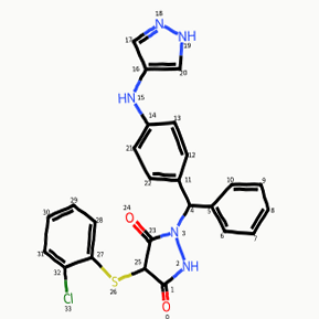 O=C1NN(C(c2ccccc2)c2ccc(Nc3cn[nH]c3)cc2)C(=O)C1Sc1ccccc1Cl